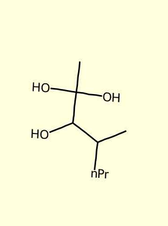 CCCC(C)C(O)C(C)(O)O